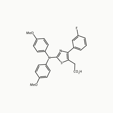 COc1ccc(N(c2ccc(OC)cc2)c2nc(-c3cccc(F)c3)c(CC(=O)O)s2)cc1